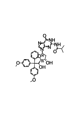 COc1ccc(C(c2ccccc2)(c2ccc(OC)cc2)C(O)[C@H]2O[C@@H](n3cnc4c(=O)[nH]c(NC(=O)C(C)C)nc43)C[C]2O)cc1